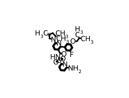 CC(C)COc1cc(F)cc(-c2nc(N3C[C@@H](C)CC3(C)C)ccc2C(=O)NS(=O)(=O)c2cccc(N)n2)c1